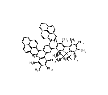 Bc1c(B)c(B)c(-c2cc(-c3c(B)c(B)c4c(c3B)C(C(B)(B)B)(C(B)(B)C)c3c(B)c(B)c(B)c(B)c3-4)c(-c3ccc4ccc5cccc6ccc3c4c56)cc2-c2ccc3ccc4cccc5ccc2c3c45)c(B)c1B